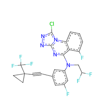 Fc1cc(C#CC2(C(F)(F)F)CC2)cc(N(CC(F)F)c2nc3nnc(Cl)n3c3cccc(F)c23)c1